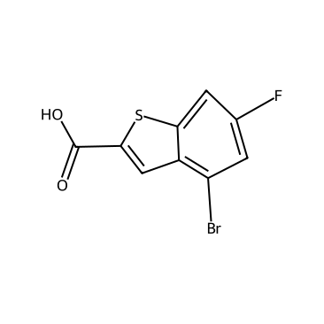 O=C(O)c1cc2c(Br)cc(F)cc2s1